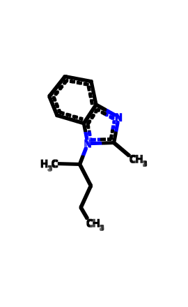 CCCC(C)n1c(C)nc2ccccc21